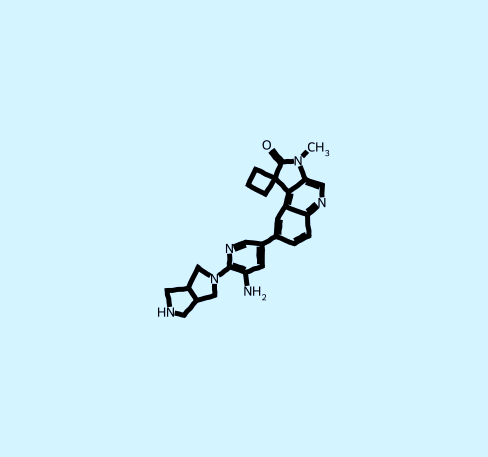 CN1C(=O)C2(CCC2)c2c1cnc1ccc(-c3cnc(N4CC5CNCC5C4)c(N)c3)cc21